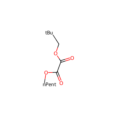 CCCCCOC(=O)C(=O)OCC(C)(C)C